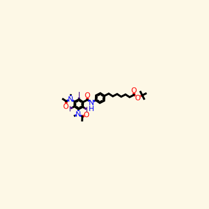 CC(=O)N(C)c1c(I)c(C(=O)Nc2ccc(CCCCCCC(=O)OC(C)(C)C)cc2)c(I)c(N(C)C(C)=O)c1I